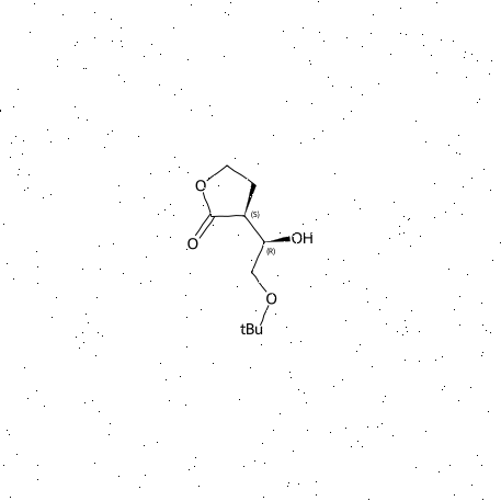 CC(C)(C)OC[C@H](O)[C@@H]1CCOC1=O